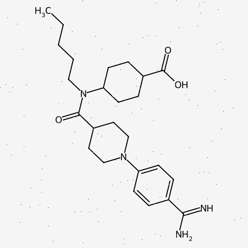 CCCCCN(C(=O)C1CCN(c2ccc(C(=N)N)cc2)CC1)C1CCC(C(=O)O)CC1